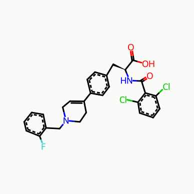 O=C(N[C@@H](Cc1ccc(C2=CCN(Cc3ccccc3F)CC2)cc1)C(=O)O)c1c(Cl)cccc1Cl